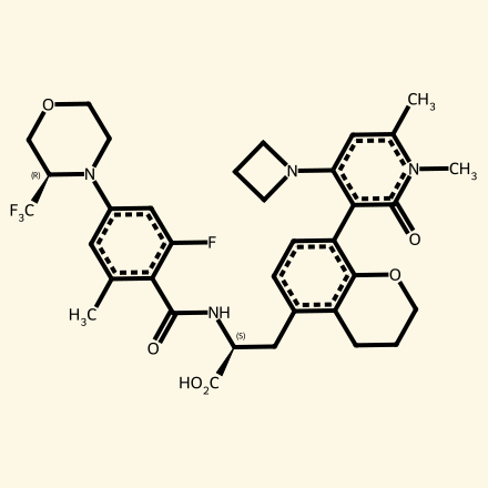 Cc1cc(N2CCOC[C@@H]2C(F)(F)F)cc(F)c1C(=O)N[C@@H](Cc1ccc(-c2c(N3CCC3)cc(C)n(C)c2=O)c2c1CCCO2)C(=O)O